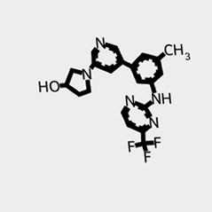 Cc1cc(Nc2nccc(C(F)(F)F)n2)cc(-c2cncc(N3CCC(O)C3)c2)c1